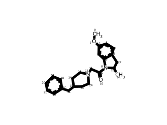 COc1ccc2c(c1)N(C(=O)CN1CCC(Cc3ccccc3)CC1)C(C)C2